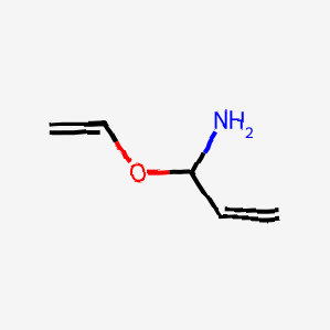 C=COC(N)C=C